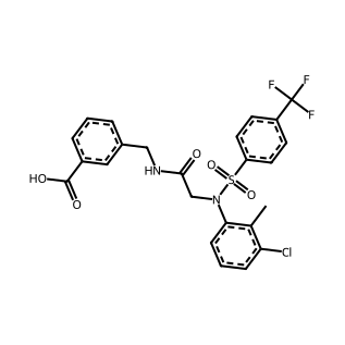 Cc1c(Cl)cccc1N(CC(=O)NCc1cccc(C(=O)O)c1)S(=O)(=O)c1ccc(C(F)(F)F)cc1